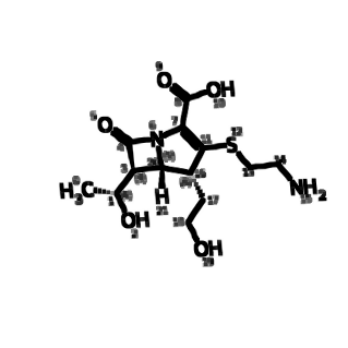 C[C@@H](O)[C@H]1C(=O)N2C(C(=O)O)=C(SCCN)[C@H](CCO)[C@H]12